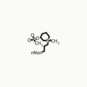 CCCCCCCCCCCC[N+]1(C)CCCCC1.CS(=O)(=O)[O-]